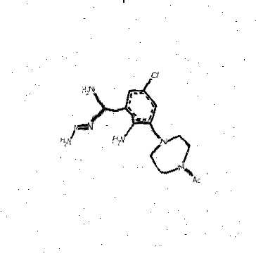 CC(=O)N1CCN(c2cc(Cl)cc(C(N)N=NN)c2N)CC1